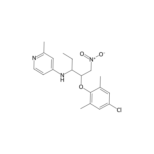 CCC(Nc1ccnc(C)c1)C(C[N+](=O)[O-])Oc1c(C)cc(Cl)cc1C